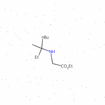 CCCCC(C)(CC)NCC(=O)OCC